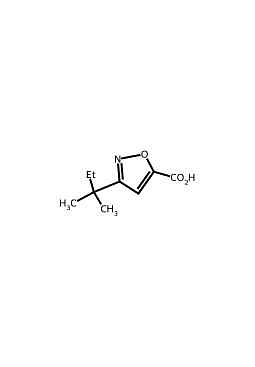 CCC(C)(C)c1cc(C(=O)O)on1